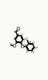 COc1cc(C=O)ccc1Oc1ccccc1C